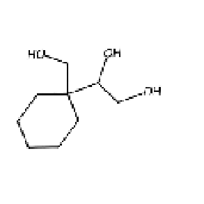 OCC(O)C1(CO)CCCCC1